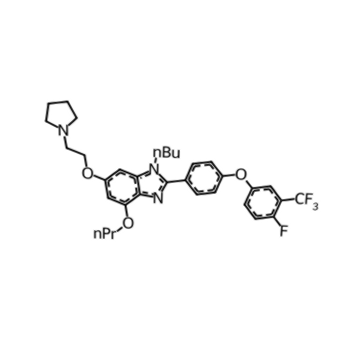 [CH2]CCOc1cc(OCCN2CCCC2)cc2c1nc(-c1ccc(Oc3ccc(F)c(C(F)(F)F)c3)cc1)n2CCCC